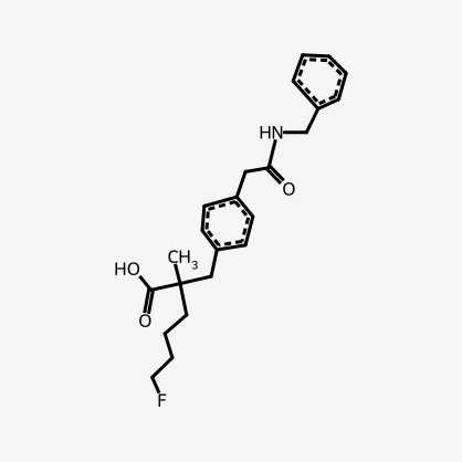 CC(CCCCF)(Cc1ccc(CC(=O)NCc2ccccc2)cc1)C(=O)O